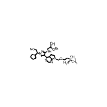 CCOC(O)CNc1nn(C(CC#N)C2CCCC2)cc1-c1ncnc2c1ccn2COCC[Si](C)(C)C